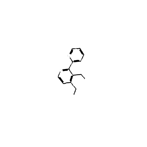 ClCc1ccnc(-c2ccccn2)c1CCl